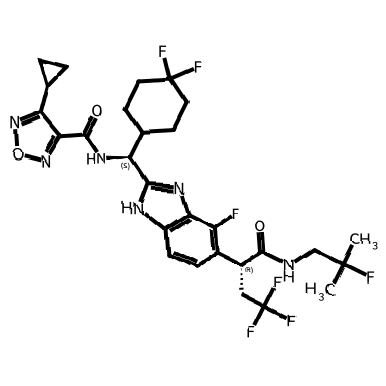 CC(C)(F)CNC(=O)[C@H](CC(F)(F)F)c1ccc2[nH]c([C@@H](NC(=O)c3nonc3C3CC3)C3CCC(F)(F)CC3)nc2c1F